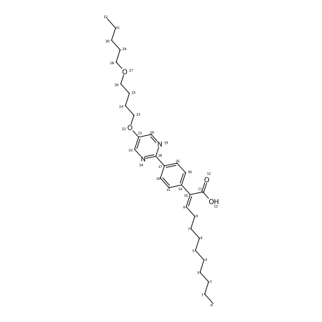 CCCCCCCCCC=C(C(=O)O)c1ccc(-c2ncc(OCCCCOCCCCC)cn2)cc1